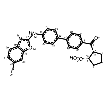 O=C(O)[C@H]1CCC[C@@H]1C(=O)c1ccc(-c2ccc(Nc3nc4ccc(F)cc4o3)cc2)cc1